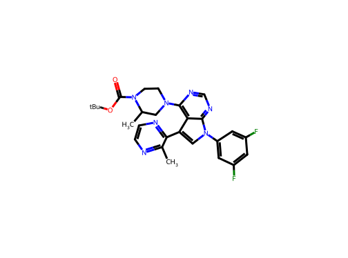 Cc1nccnc1-c1cn(-c2cc(F)cc(F)c2)c2ncnc(N3CCN(C(=O)OC(C)(C)C)C(C)C3)c12